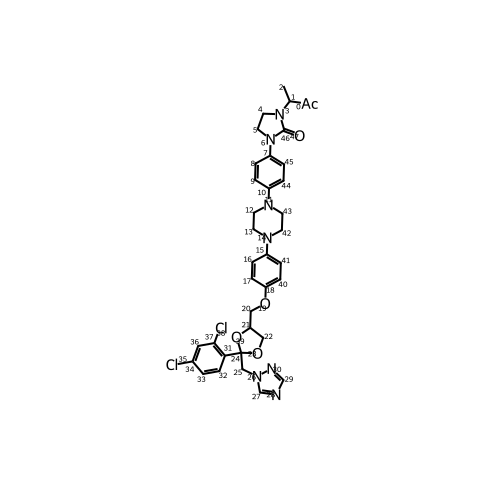 CC(=O)C(C)N1CCN(c2ccc(N3CCN(c4ccc(OCC5COC(Cn6cncn6)(c6ccc(Cl)cc6Cl)O5)cc4)CC3)cc2)C1=O